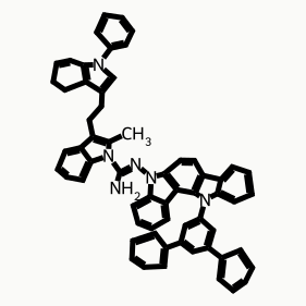 Cc1c(CCc2cn(-c3ccccc3)c3c2CCC=C3)c2ccccc2n1/C(N)=N/n1c2ccccc2c2c1ccc1c3ccccc3n(-c3cc(-c4ccccc4)cc(-c4ccccc4)c3)c12